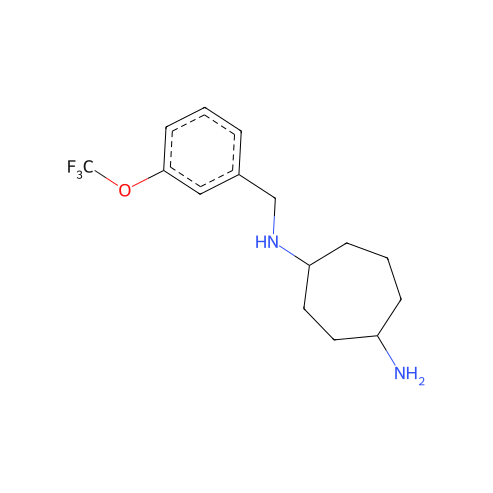 NC1CCCC(NCc2cccc(OC(F)(F)F)c2)CC1